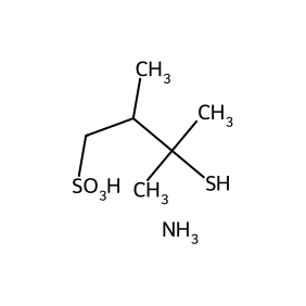 CC(CS(=O)(=O)O)C(C)(C)S.N